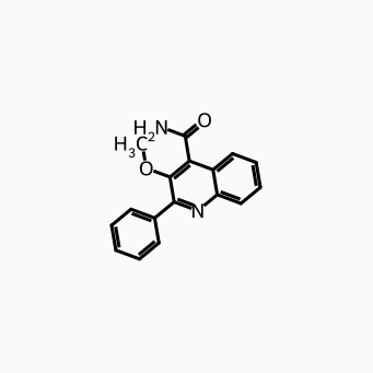 COc1c(-c2ccccc2)nc2ccccc2c1C(N)=O